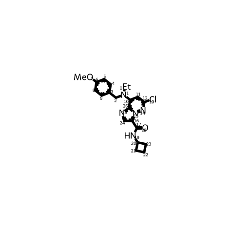 CCN(Cc1ccc(OC)cc1)c1cc(Cl)nn2c(C(=O)NC3CCC3)cnc12